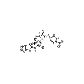 CC1(C(=O)OCc2ccc([N+](=O)[O-])cc2)CS[C@@H]2C(NC(=O)Cn3cnnn3)C(=O)N2C1